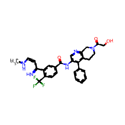 CN/C=C\C(=N)c1cc(C(=O)Nc2cnc3c(c2-c2ccccc2)CCN(C(=O)CO)C3)ccc1C(F)(F)F